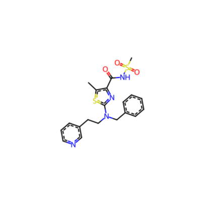 Cc1sc(N(CCc2cccnc2)Cc2ccccc2)nc1C(=O)NS(C)(=O)=O